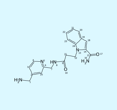 NCc1ccnc(CNC(=O)[CH]Cn2c(C(N)=O)cc3ccccc32)c1